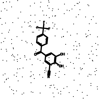 N#Cc1cc(C(=O)c2ccc(C(F)(F)F)cc2)cc(O)c1O